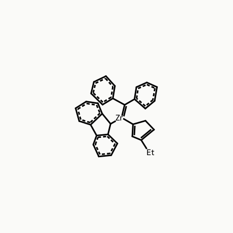 CCC1=CC[C]([Zr](=[C](c2ccccc2)c2ccccc2)[CH]2c3ccccc3-c3ccccc32)=C1